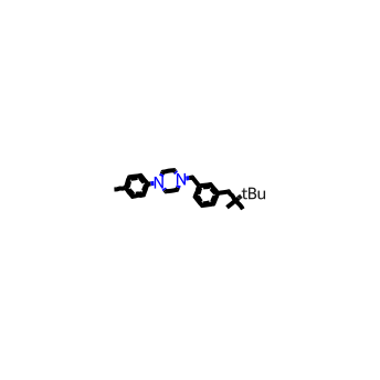 Cc1ccc(N2CCN(Cc3cccc(CC(C)(C)C(C)(C)C)c3)CC2)cc1